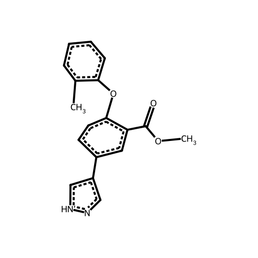 COC(=O)c1cc(-c2cn[nH]c2)ccc1Oc1ccccc1C